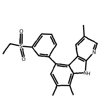 CCS(=O)(=O)c1cccc(-c2cc(C)c(C)c3[nH]c4ncc(C)cc4c23)c1